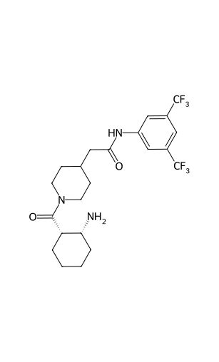 N[C@@H]1CCCC[C@@H]1C(=O)N1CCC(CC(=O)Nc2cc(C(F)(F)F)cc(C(F)(F)F)c2)CC1